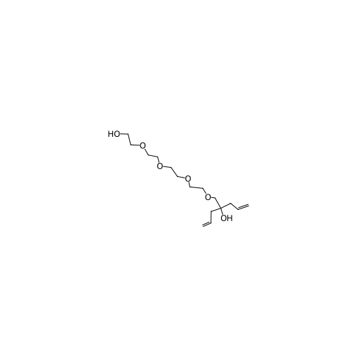 C=CCC(O)(CC=C)COCCOCCOCCOCCO